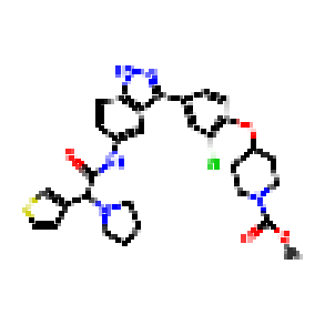 CC(C)(C)OC(=O)N1CCC(Oc2ccc(-c3n[nH]c4ccc(NC(=O)C(c5ccsc5)N5CCCC5)cc34)cc2Cl)CC1